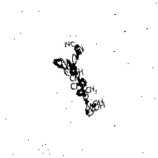 Cc1c(OCCCN2CCSC(O)(O)C2)cccc1-c1cccc(COc2cc(OCc3cncc(C#N)c3)c(CN3CCCC[C@H]3C(=O)O)cc2Cl)c1Cl